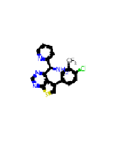 NC(c1ccccn1)c1ncnc2scc(-c3ccc(Cl)c(C(F)(F)F)c3)c12